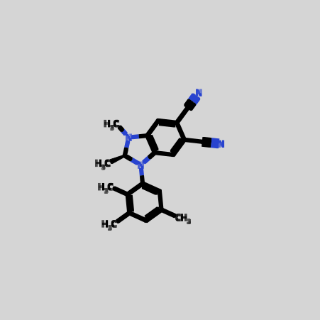 Cc1cc(C)c(C)c(N2c3cc(C#N)c(C#N)cc3N(C)[C@@H]2C)c1